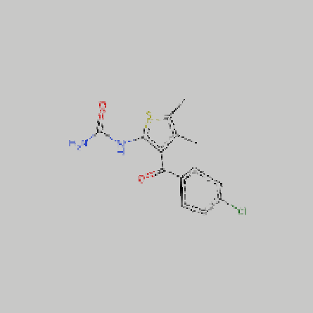 Cc1sc(NC(N)=O)c(C(=O)c2ccc(Cl)cc2)c1C